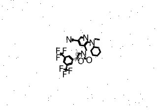 CCN(c1ncc(C#N)cc1CN1C(=O)O[C@H](c2cc(C(F)(F)F)cc(C(F)(F)F)c2)[C@@H]1C)C1CCCCC1